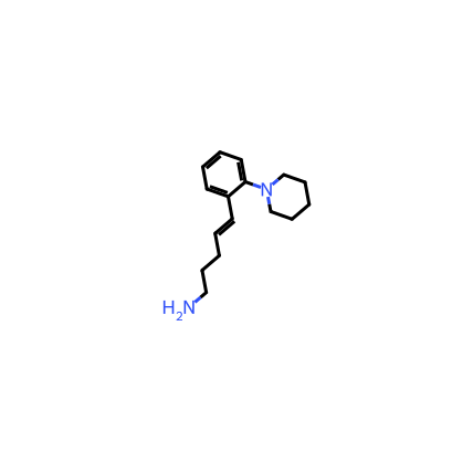 NCCCC=Cc1ccccc1N1CCCCC1